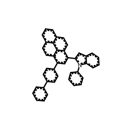 c1ccc(-c2ccc(-c3cc(-c4cc5ccccc5n4-c4ccccc4)c4ccc5cccc6ccc3c4c65)cc2)cc1